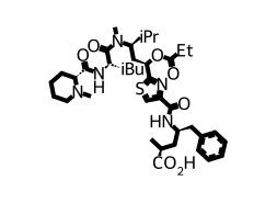 CCC(=O)O[C@H](C[C@H](C(C)C)N(C)C(=O)[C@@H](NC(=O)[C@H]1CCCCN1C)[C@@H](C)CC)c1nc(C(=O)N[C@@H](Cc2ccccc2)C[C@H](C)C(=O)O)cs1